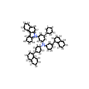 c1ccc(-c2cc(N(c3ccc(-c4cccc5ccccc45)cc3)c3cccc(-c4cccc5ccccc45)c3)cc(-n3c4ccccc4c4c5ccccc5ccc43)c2)cc1